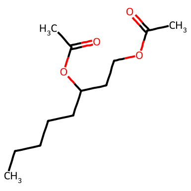 CCCCCC(CCOC(C)=O)OC(C)=O